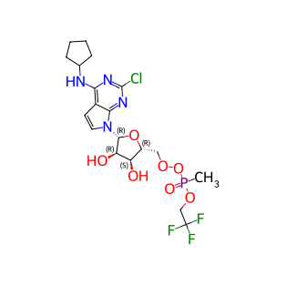 CP(=O)(OCC(F)(F)F)OOC[C@H]1O[C@@H](n2ccc3c(NC4CCCC4)nc(Cl)nc32)[C@H](O)[C@@H]1O